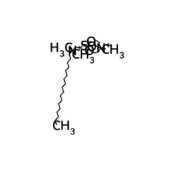 CCCCCCCCCCCCCCCCCC[N+](C)(C)CCC[Si]12OCC[N+](C)(CCO1)CCO2